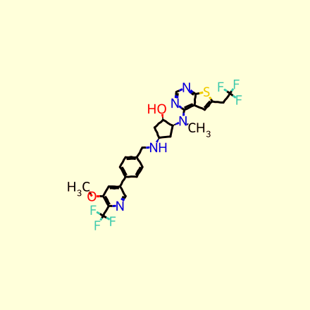 COc1cc(-c2ccc(CN[C@H]3C[C@@H](O)[C@@H](N(C)c4ncnc5sc(CC(F)(F)F)cc45)C3)cc2)cnc1C(F)(F)F